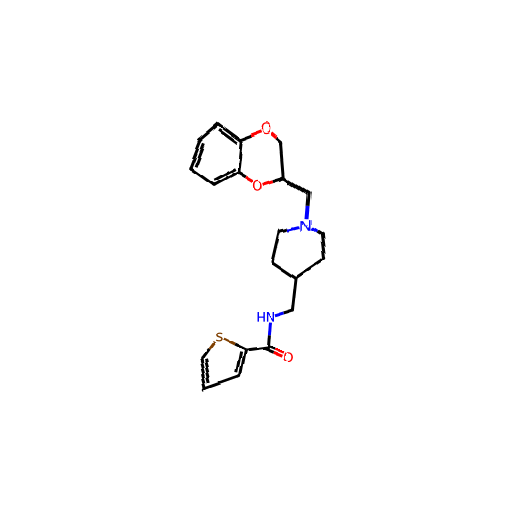 O=C(NCC1CCN(CC2COc3ccccc3O2)CC1)c1cccs1